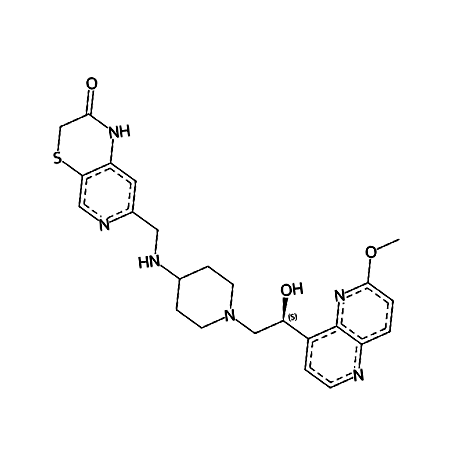 COc1ccc2nccc([C@H](O)CN3CCC(NCc4cc5c(cn4)SCC(=O)N5)CC3)c2n1